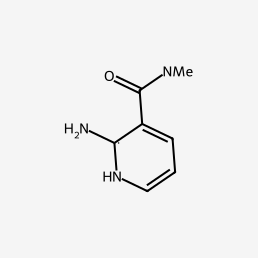 CNC(=O)C1=CC=CN[C]1N